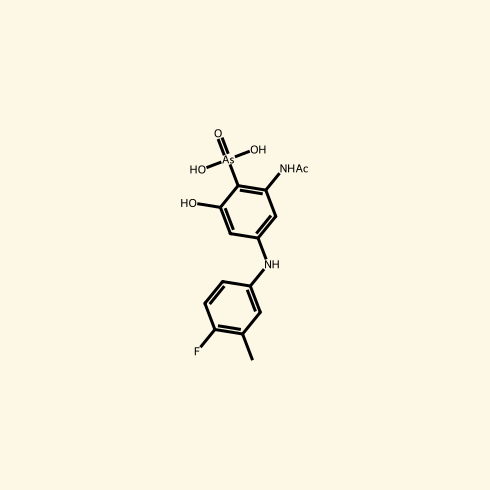 CC(=O)Nc1cc(Nc2ccc(F)c(C)c2)cc(O)c1[As](=O)(O)O